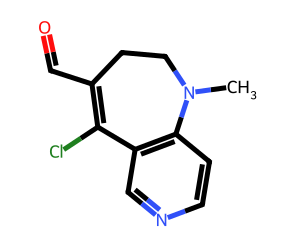 CN1CCC(C=O)=C(Cl)c2cnccc21